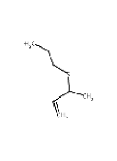 [CH2]CCSC(C)C=C